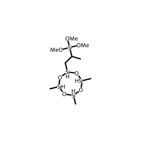 CO[Si](OC)(OC)C(C)C[SiH]1O[SiH](C)O[SiH](C)O[SiH](C)O1